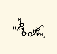 Cc1cc(C#N)ccc1COc1cccc(C2=CCN(Cc3nc4sc(C=O)cc4n3C)CC2)c1